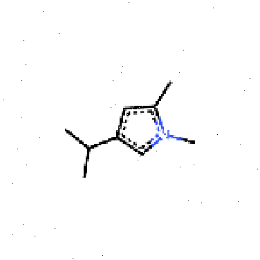 Cc1cc(C(C)C)cn1C